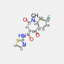 CN1C(=O)CC(C(=O)Nc2nccs2)C(=O)c2ccc(F)cc21